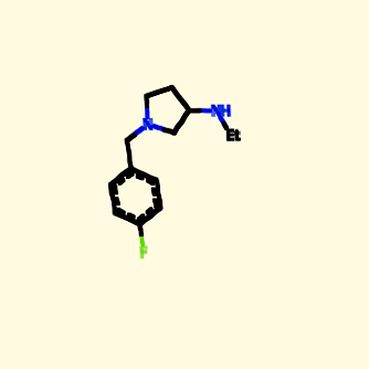 CCNC1CCN(Cc2ccc(F)cc2)C1